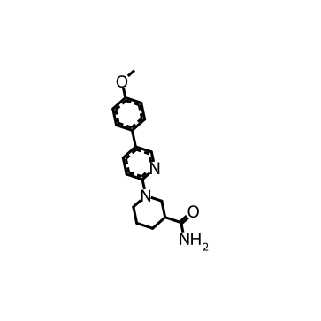 COc1ccc(-c2ccc(N3CCCC(C(N)=O)C3)nc2)cc1